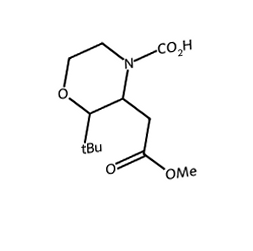 COC(=O)CC1C(C(C)(C)C)OCCN1C(=O)O